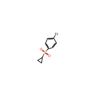 CCc1ccc(S(=O)(=O)C2CC2)cc1